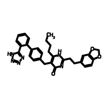 CCCCc1[nH]c(CCc2ccc3c(c2)OCO3)nc(=O)c1Cc1ccc(-c2ccccc2-c2nnn[nH]2)cc1